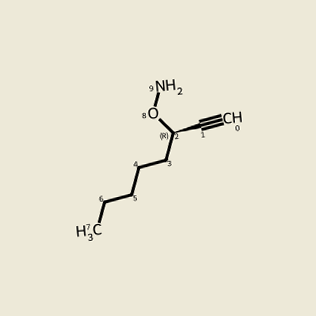 C#C[C@@H](CCCCC)ON